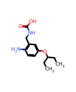 CCC(CC)Oc1ccc(N)c(CNC(=O)O)c1